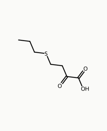 CCCSCCC(=O)C(=O)O